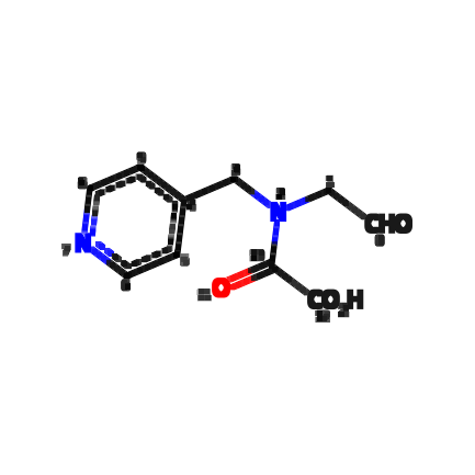 O=CCN(Cc1ccncc1)C(=O)C(=O)O